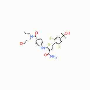 CCCN(CCC=O)C(=O)c1ccc(Nc2sc(-c3c(F)cc(C(C)(C)O)cc3F)cc2C(N)=O)cc1